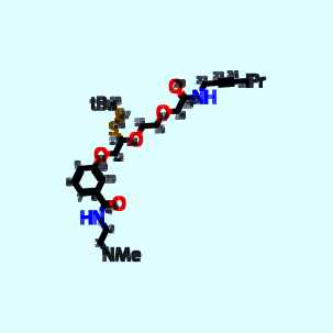 CNCCNC(=O)c1cccc(OCC(OCCOCC(=O)NCC#CC(C)C)SSC(C)(C)C)c1